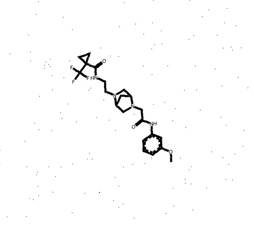 COc1cccc(NC(=O)CN2CC3CC2CN3CCNC(=O)C2(C(F)(F)F)CC2)c1